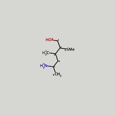 CSC(CO)C(C)CC(C)N